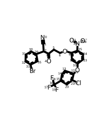 N#CC(C(=O)CCOc1cc(Oc2ccc(C(F)(F)F)cc2Cl)ccc1[N+](=O)[O-])c1cccc(Br)c1